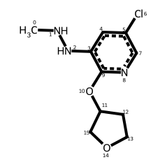 CNNc1cc(Cl)cnc1OC1CCOC1